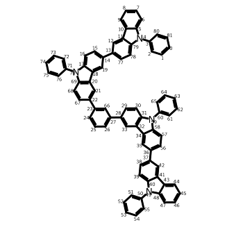 c1ccc(-n2c3ccccc3c3cc(-c4ccc5c(c4)c4cc(-c6cccc(-c7ccc8c(c7)c7cc(-c9ccc%10c(c9)c9ccccc9n%10-c9ccccc9)ccc7n8-c7ccccc7)c6)ccc4n5-c4ccccc4)ccc32)cc1